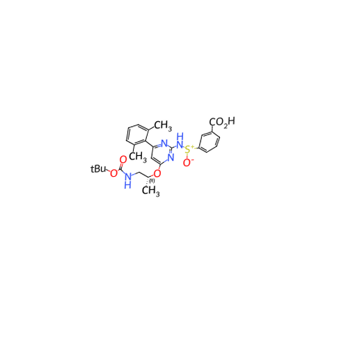 Cc1cccc(C)c1-c1cc(O[C@H](C)CNC(=O)OC(C)(C)C)nc(N[S+]([O-])c2cccc(C(=O)O)c2)n1